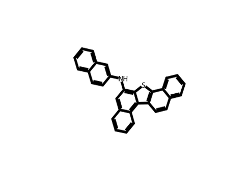 c1ccc2cc(Nc3cc4ccccc4c4c3sc3c5ccccc5ccc34)ccc2c1